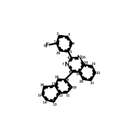 Fc1cccc(-c2nc(-c3ccc4ccccc4c3)c3ccccc3n2)c1